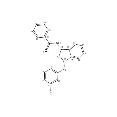 O=C(N[C@H]1C[C@@H](Cc2cccc(Cl)c2)c2ccccc21)c1ccccc1